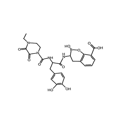 CCN1CCN(C(=O)NC(Cc2ccc(O)c(O)c2)C(=O)NC2Cc3cccc(C(=O)O)c3OB2O)C(=O)C1=O